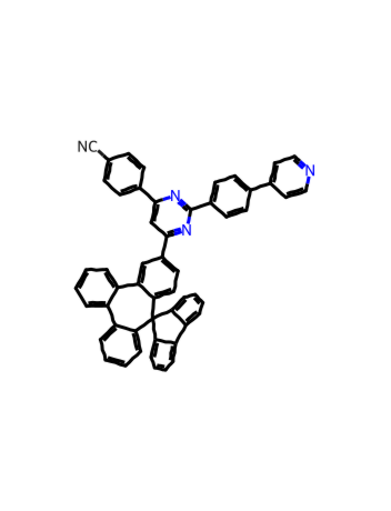 N#Cc1ccc(-c2cc(-c3ccc4c(c3)-c3ccccc3-c3ccccc3C43c4ccccc4-c4ccccc43)nc(-c3ccc(-c4ccncc4)cc3)n2)cc1